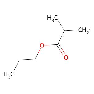 [CH2]C(C)C(=O)OCCC